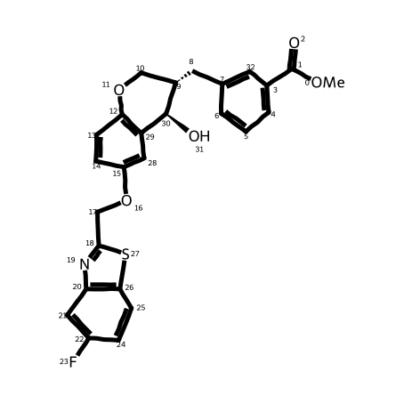 COC(=O)c1cccc(C[C@H]2COc3ccc(OCc4nc5cc(F)ccc5s4)cc3[C@@H]2O)c1